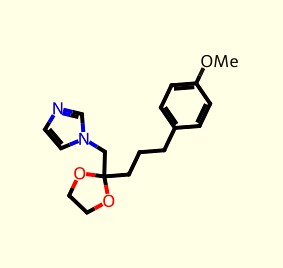 COc1ccc(CCCC2(Cn3ccnc3)OCCO2)cc1